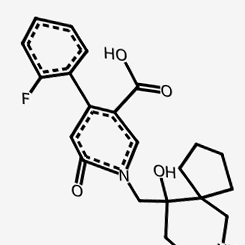 O=C(O)c1cn(CC2(O)CCNCC23CCCC3)c(=O)cc1-c1ccccc1F